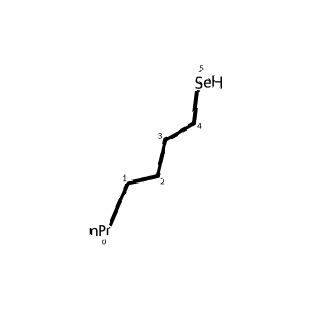 CCCCCCC[SeH]